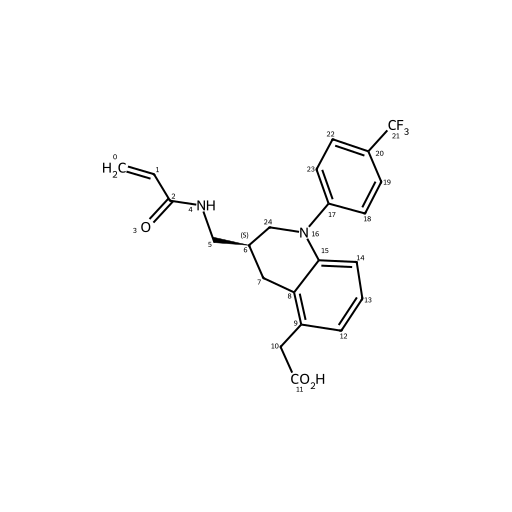 C=CC(=O)NC[C@@H]1Cc2c(CC(=O)O)cccc2N(c2ccc(C(F)(F)F)cc2)C1